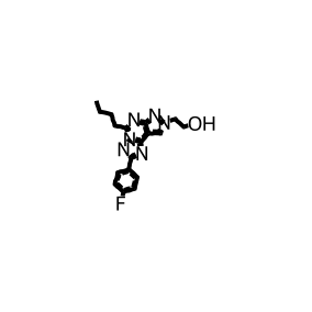 CCCCc1nc2nn(CCO)cc2c2nc(-c3ccc(F)cc3)nn12